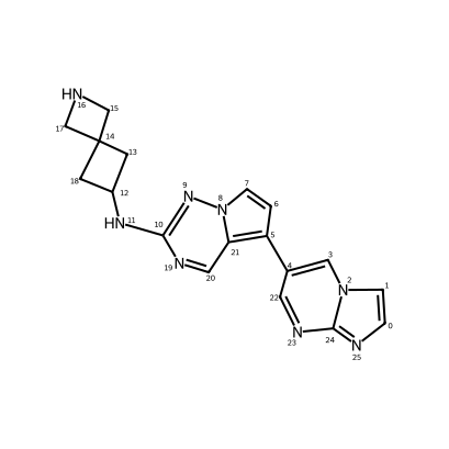 c1cn2cc(-c3ccn4nc(NC5CC6(CNC6)C5)ncc34)cnc2n1